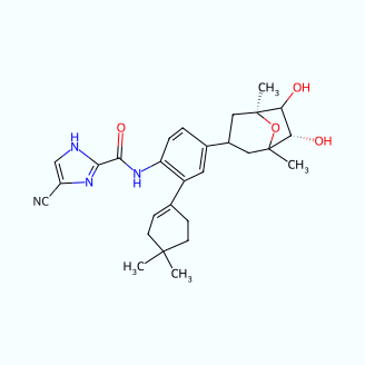 CC1(C)CC=C(c2cc(C3CC4(C)O[C@@](C)(C3)C(O)[C@@H]4O)ccc2NC(=O)c2nc(C#N)c[nH]2)CC1